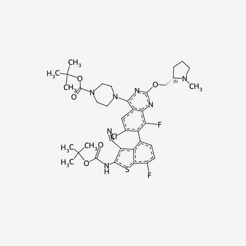 CN1CCC[C@H]1COc1nc(N2CCN(C(=O)OC(C)(C)C)CC2)c2cc(Cl)c(-c3ccc(F)c4sc(NC(=O)OC(C)(C)C)c(C#N)c34)c(F)c2n1